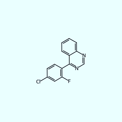 Fc1cc(Cl)ccc1-c1ncnc2ccccc12